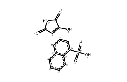 O=C1C=C(O)C(=O)N1.O=S(=O)(O)c1cccc2ccccc12